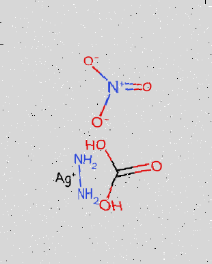 NN.O=C(O)O.O=[N+]([O-])[O-].[Ag+]